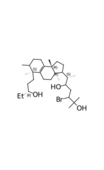 CC[C@@H](O)CC[C@]1(C)C2=C(CCC1C)[C@]1(C)CCC([C@H](C)C(O)CC(Br)C(C)(C)O)[C@@]1(C)CC2